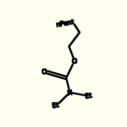 CCCCCCCOC(=O)N(CC)CC